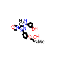 CNCC(O)COc1cccc(-c2nc(N[C@@H]3CC[C@@H](O)C3)c(C)c(N3CCOCC3)n2)c1